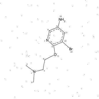 CN(C)CCOc1ncc(N)cc1Br